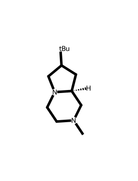 CN1CCN2CC(C(C)(C)C)C[C@H]2C1